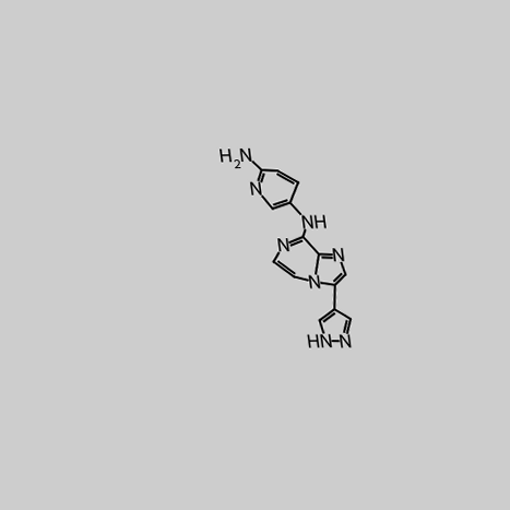 Nc1ccc(Nc2nccn3c(-c4cn[nH]c4)cnc23)cn1